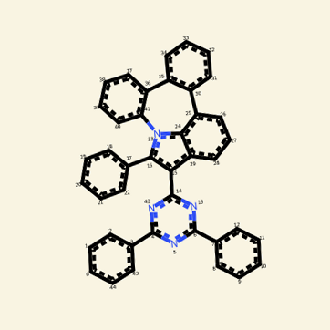 c1ccc(-c2nc(-c3ccccc3)nc(-c3c(-c4ccccc4)n4c5c(cccc35)-c3ccccc3-c3ccccc3-4)n2)cc1